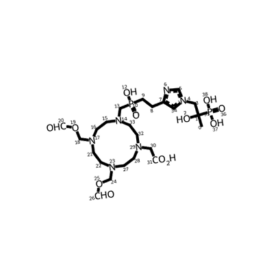 CC(O)(Cn1cnc(CCP(=O)(O)CN2CCN(COC=O)CCN(COC=O)CCN(CC(=O)O)CC2)c1)P(=O)(O)O